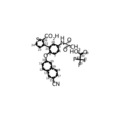 CS(=O)(=O)Nc1ccc(Oc2ccc3cc(C#N)ccc3c2)c(-c2ccsc2C(=O)O)c1.O=C(O)C(F)(F)F